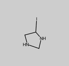 IC1CNCN1